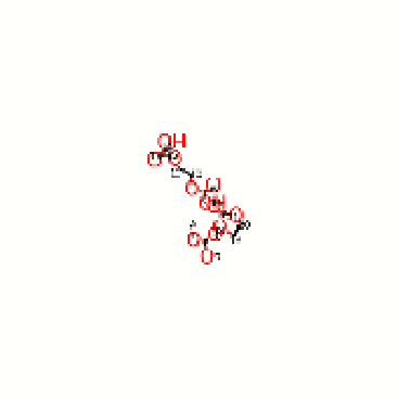 COC(=O)OC.O=C(O)OCCOC(=O)O.O=c1occo1